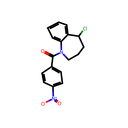 O=C(c1ccc([N+](=O)[O-])cc1)N1CCCC(Cl)c2ccccc21